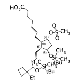 CCC1(C(CC=C[C@H]2[C@@H](CC=CCCCC(=O)O)[C@H](OS(C)(=O)=O)C[C@H]2O[Si](C)(C)C(C)(C)C)O[Si](C)(C)C(C)(C)C)CCC1